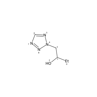 CCC(O)Cn1n[c]nn1